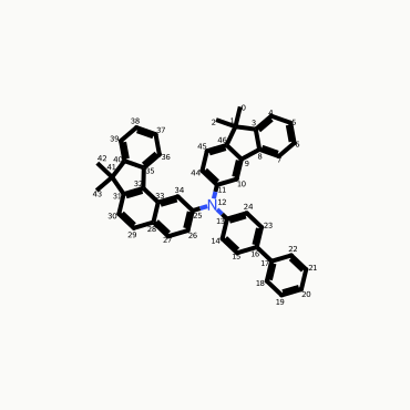 CC1(C)c2ccccc2-c2cc(N(c3ccc(-c4ccccc4)cc3)c3ccc4ccc5c(c4c3)-c3ccccc3C5(C)C)ccc21